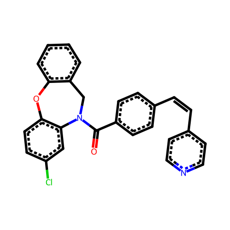 O=C(c1ccc(/C=C\c2ccncc2)cc1)N1Cc2ccccc2Oc2ccc(Cl)cc21